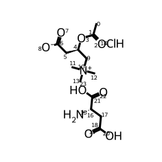 CC(=O)O[C@H](CC(=O)[O-])C[N+](C)(C)C.Cl.N[C@@H](CC(=O)O)C(=O)O